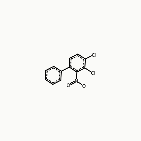 O=[N+]([O-])c1c(-c2ccccc2)ccc(Cl)c1Cl